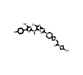 CCc1nc2sc(N3CCC4(CC3)CN(CC(=O)N3CC(O)C3)C4)nn2c1N(C)c1nc(-c2ccc(F)cc2)c(C#N)s1